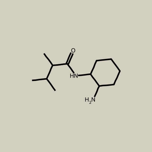 CC(C)C(C)C(=O)NC1CCCCC1N